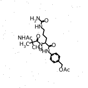 CC(=O)NC(C)(C)C(=O)NC(CCCNC(N)=O)C(=O)Nc1ccc(COC(C)=O)cc1